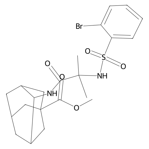 COC(=O)C12CC3CC(C1)C(NC(=O)C(C)(C)NS(=O)(=O)c1ccccc1Br)C(C3)C2